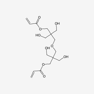 C=CC(=O)OCC(CO)(CO)COCC(CO)(CO)COC(=O)C=C